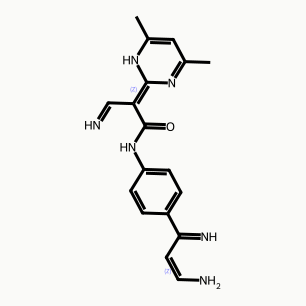 CC1=CC(C)=N/C(=C(/C=N)C(=O)Nc2ccc(C(=N)/C=C\N)cc2)N1